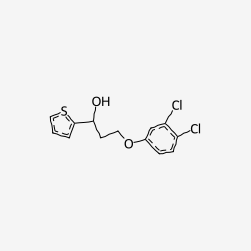 OC(CCOc1ccc(Cl)c(Cl)c1)c1cccs1